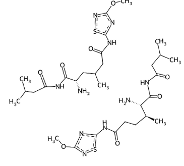 COc1nsc(NC(=O)CC(C)C[C@H](N)C(=O)NC(=O)CC(C)C)n1.COc1nsc(NC(=O)CC[C@H](C)[C@H](N)C(=O)NC(=O)CC(C)C)n1